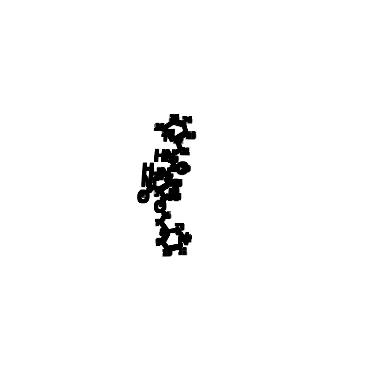 NC(=O)c1c(OCCc2cccnc2)nsc1NC(=O)NCc1ccccn1